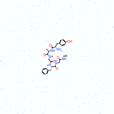 CCCNC(=O)CNC(=O)[C@H](Cc1ccccc1)N(C)C(=O)CNC(=O)[C@@H](C)NC(=O)[C@@H](N)Cc1ccc(O)cc1